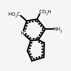 Nc1c(C(=O)O)c(C(=O)O)nc2ccccc12